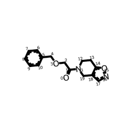 O=C(COCc1ccccc1)N1CCc2oncc2C1